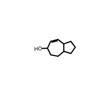 OC1C=CC2CCCC2CC1